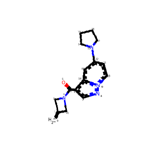 C=C1CN(C(=O)c2cnn3ccc(N4CCCC4)cc23)C1